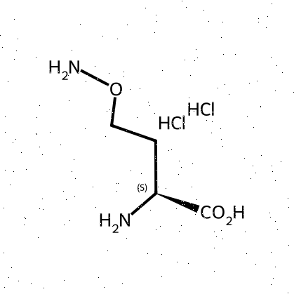 Cl.Cl.NOCC[C@H](N)C(=O)O